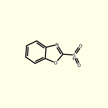 O=[SH](=O)c1nc2ccccc2o1